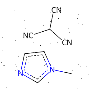 Cn1ccnc1.N#CC(C#N)C#N